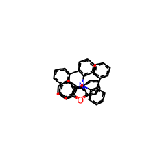 c1ccc(-c2ccccc2N(c2ccccc2)c2ccccc2-c2cccc3ccc4oc5ccccc5c4c23)cc1